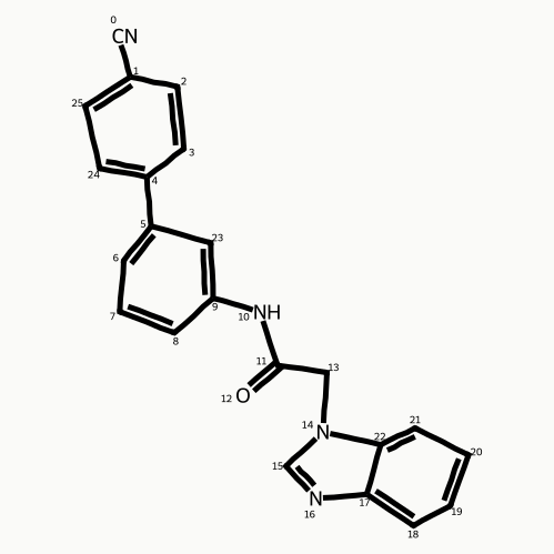 N#Cc1ccc(-c2cccc(NC(=O)Cn3cnc4ccccc43)c2)cc1